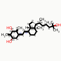 C=C1/C(=C\C=C2/CCC[C@]3(C)[C@@H]([C@H](C)CCCC(C)(C)O)CC[C@@H]23)C[C@@H](O)C(=C)[C@@H]1O